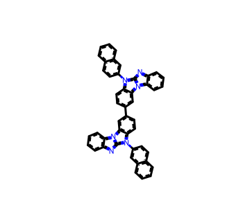 c1ccc2cc(-n3c4ccc(-c5ccc6c(c5)n5c7ccccc7nc5n6-c5ccc6ccccc6c5)cc4n4c5ccccc5nc34)ccc2c1